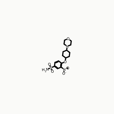 NS(=O)(=O)c1ccc(OC2CCC(N3CCOCC3)CC2)c([N+](=O)[O-])c1